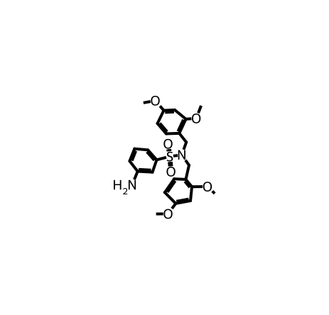 COc1ccc(CN(Cc2ccc(OC)cc2OC)S(=O)(=O)c2cccc(N)c2)c(OC)c1